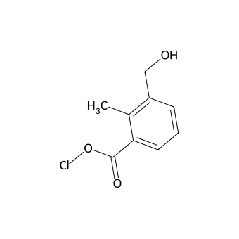 Cc1c(CO)cccc1C(=O)OCl